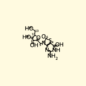 NC1=Nc2c(sc(=O)n2C[C@@H]2O[C@H](CO)[C@@H](O)[C@H]2O)C(O)N1